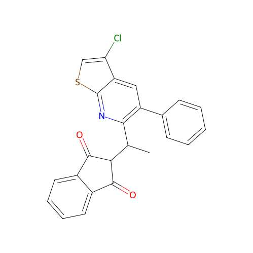 CC(c1nc2scc(Cl)c2cc1-c1ccccc1)C1C(=O)c2ccccc2C1=O